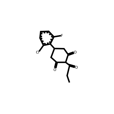 CCC(=O)C1C(=O)CC(c2c(F)cccc2Cl)CC1=O